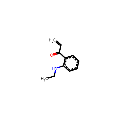 C=CC(=O)c1ccccc1NCC